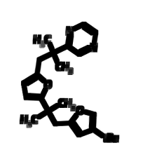 CC(C)(C)c1coc(CC(C)(C)c2ccc(CC(C)(C)c3cnccn3)o2)c1